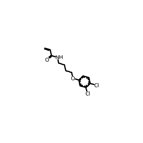 C=CC(=O)NCCCCOc1ccc(Cl)c(Cl)c1